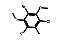 COc1c(Cl)c(C)c(Cl)c(OC)c1Br